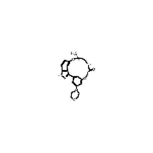 C[C@@H]1CCNC(=O)COc2cc(cc(N3CCOCC3)c2)-c2n[nH]c3ccc(cc23)O1